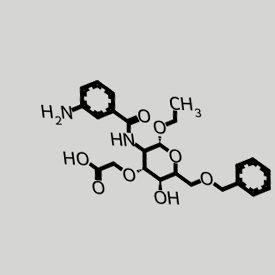 CCO[C@@H]1OC(COCc2ccccc2)[C@@H](O)[C@H](OCC(=O)O)C1NC(=O)c1cccc(N)c1